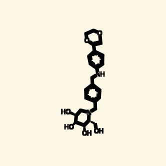 OC[C@@H]1[C@@H](O)[C@H](O)[C@@H](O)CN1Cc1ccc(CNc2ccc(C3=COCCO3)cc2)cc1